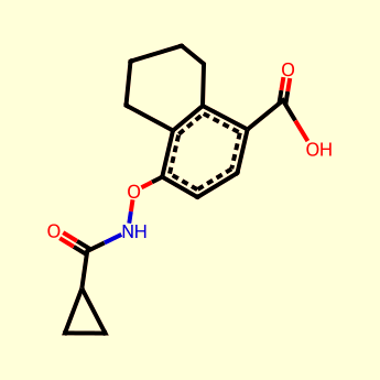 O=C(O)c1ccc(ONC(=O)C2CC2)c2c1CCCC2